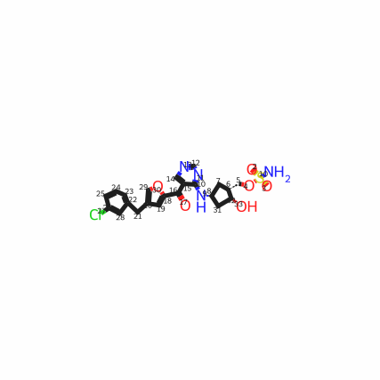 NS(=O)(=O)OC[C@H]1C[C@@H](Nc2ncncc2C(=O)c2cc(Cc3cccc(Cl)c3)co2)C[C@@H]1O